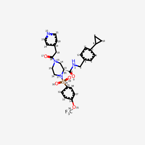 O=C(NCc1ccc(C2CC2)cc1)[C@H]1CN(C(=O)Cc2ccncc2)CCN1S(=O)(=O)c1ccc(OC(F)(F)F)cc1